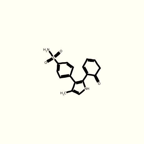 Cc1c[nH]c(C2=CC=CCC2=O)c1-c1ccc(S(N)(=O)=O)cc1